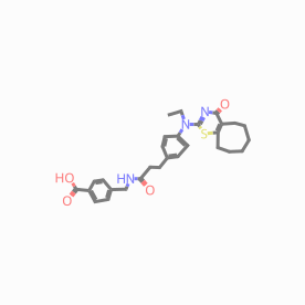 CCN(c1ccc(CCC(=O)NCc2ccc(C(=O)O)cc2)cc1)c1nc(=O)c2c(s1)CCCCCC2